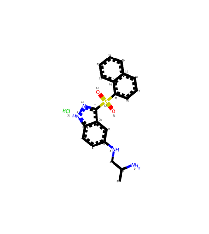 CC(N)CNc1ccc2[nH]nc(S(=O)(=O)c3cccc4ccccc34)c2c1.Cl